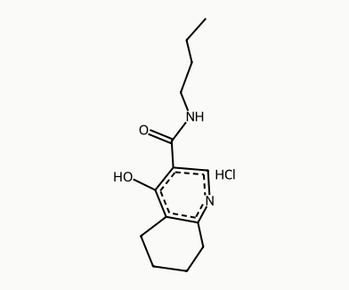 CCCCNC(=O)c1cnc2c(c1O)CCCC2.Cl